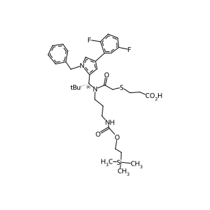 CC(C)(C)[C@H](c1cc(-c2cc(F)ccc2F)cn1Cc1ccccc1)N(CCCNC(=O)OCC[Si](C)(C)C)C(=O)CSCCC(=O)O